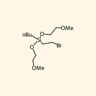 CCCC[Si](CCBr)(OCCOC)OCCOC